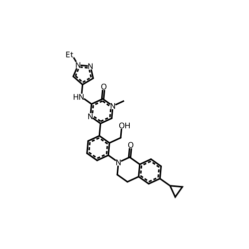 CCn1cc(Nc2nc(-c3cccc(N4CCc5cc(C6CC6)ccc5C4=O)c3CO)cn(C)c2=O)cn1